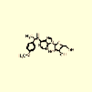 COc1ccc([C@@H](C)Nc2ncnc3c2ncn3C2OC(CO)C(O)C2O)cc1